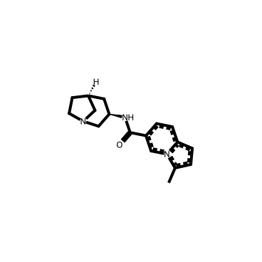 Cc1ccc2ccc(C(=O)N[C@@H]3C[C@@H]4CCN(C4)C3)cn12